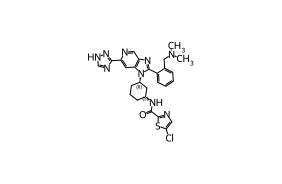 CN(C)Cc1ccccc1-c1nc2cnc(-c3nc[nH]n3)cc2n1[C@@H]1CCC[C@H](NC(=O)c2ncc(Cl)s2)C1